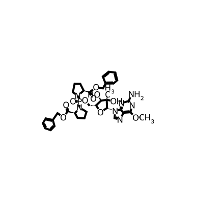 COc1nc(N)nc2c1ncn2[C@@H]1O[C@H](COP(=O)(N2CCC[C@H]2C(=O)OCc2ccccc2)N2CCC[C@H]2C(=O)OCc2ccccc2)[C@@H](O)[C@@]1(C)O